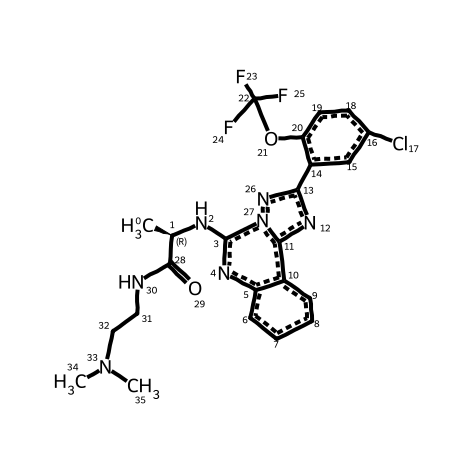 C[C@@H](Nc1nc2ccccc2c2nc(-c3cc(Cl)ccc3OC(F)(F)F)nn12)C(=O)NCCN(C)C